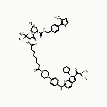 Cc1ncsc1-c1ccc(CNC(=O)[C@@H]2C[C@@H](O)CN2C(=O)[C@@H](NC(=O)CCCCCCC(=O)N2CCN(c3ccc(Nc4ncc5cc(C(=O)N(C)C)n(C6CCCC6)c5n4)nc3)CC2)C(C)(C)C)cc1